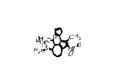 CC1=C(C2=CC=CC2)C2=C(CCCC(=[Si](C)C)C2C(C)C)[CH]1[Hf]([Cl])[Cl]